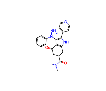 CN(C)C(=O)C1CC(=O)c2c([nH]c(-c3ccncc3)c2N(N)c2ccccc2)C1